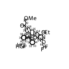 CCOc1nc(OCC(F)F)nc(OC)c1CN1CC2CN(C(=O)CCOC)CCN2C(C(c2ccccc2)c2ccccc2)C1.Cl.Cl